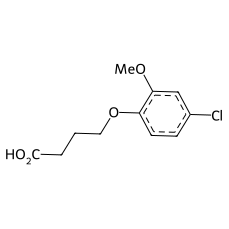 COc1cc(Cl)ccc1OCCCC(=O)O